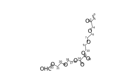 C=CC(=O)COCCOCCOC(=O)C(=O)OCCOCCOC=O